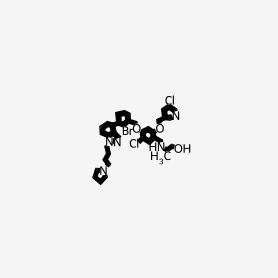 CC(CO)NCc1cc(Cl)c(OCc2cccc(-c3cccc4c3cnn4CCCCN3CCCC3)c2Br)cc1OCc1cncc(Cl)c1